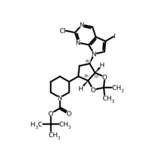 CC(C)(C)OC(=O)N1CCCC(C2C[C@@H](n3cc(I)c4cnc(Cl)nc43)[C@@H]3OC(C)(C)O[C@H]23)C1